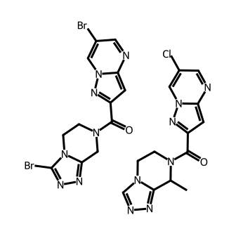 CC1c2nncn2CCN1C(=O)c1cc2ncc(Cl)cn2n1.O=C(c1cc2ncc(Br)cn2n1)N1CCn2c(Br)nnc2C1